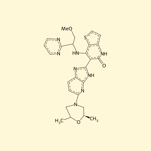 COCC(Nc1c(-c2nc3ccc(N4CC(C)O[C@H](C)C4)nc3[nH]2)c(=O)[nH]c2ccsc12)c1ncccn1